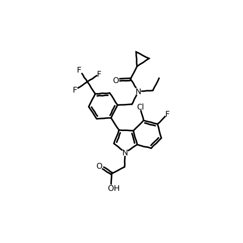 CCN(Cc1cc(C(F)(F)F)ccc1-c1cn(CC(=O)O)c2ccc(F)c(Cl)c12)C(=O)C1CC1